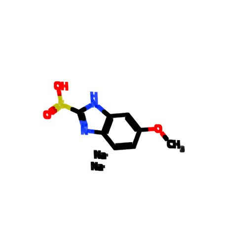 COc1ccc2nc(S(=O)O)[nH]c2c1.[Na].[Na]